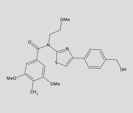 COCCN(C(=O)c1cc(OC)c(C)c(OC)c1)c1nc(-c2ccc(CO)cc2)cs1